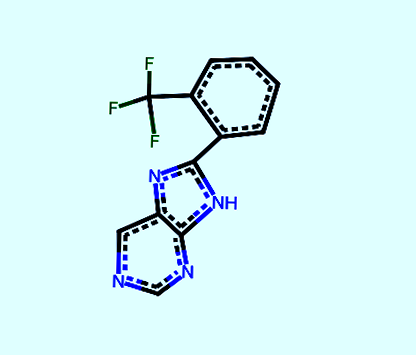 FC(F)(F)c1ccccc1-c1nc2cncnc2[nH]1